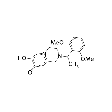 COc1cccc(OC)c1C(C)N1CCn2cc(O)c(=O)cc2C1